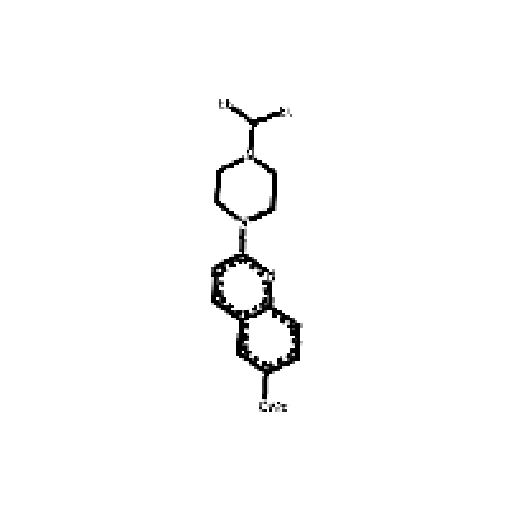 CCC(CC)N1CCN(c2ccc3cc(OC)ccc3n2)CC1